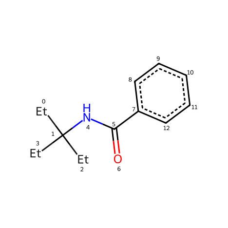 CCC(CC)(CC)NC(=O)c1ccccc1